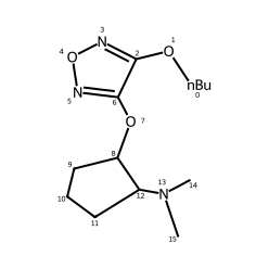 CCCCOc1nonc1OC1CCCC1N(C)C